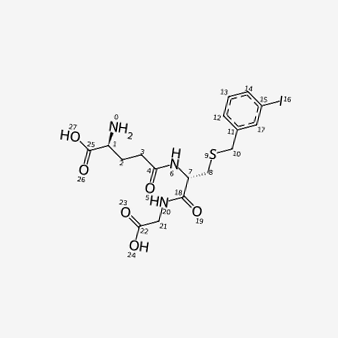 N[C@@H](CCC(=O)N[C@H](CSCc1cccc(I)c1)C(=O)NCC(=O)O)C(=O)O